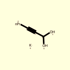 CCCC#CC(O)O.[K]